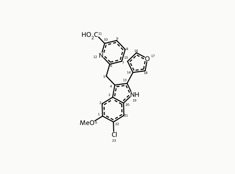 COc1cc2c(Cc3cccc(C(=O)O)n3)c(-c3ccoc3)[nH]c2cc1Cl